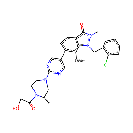 COc1c(-c2cnc(N3CCN(C(=O)CO)[C@H](C)C3)nc2)ccc2c(=O)n(C)n(Cc3ccccc3Cl)c12